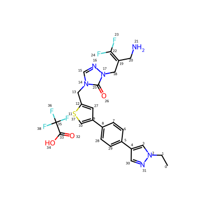 CCn1cc(-c2ccc(-c3csc(Cn4cnn(CC(CN)=C(F)F)c4=O)c3)cc2)cn1.O=C(O)C(F)(F)F